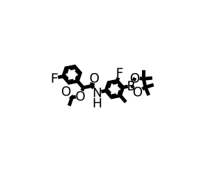 CC(=O)OC(C(=O)Nc1cc(C)c(B2OC(C)(C)C(C)(C)O2)c(F)c1)c1cccc(F)c1